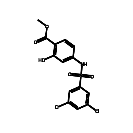 COC(=O)c1ccc(NS(=O)(=O)c2cc(Cl)cc(Cl)c2)cc1O